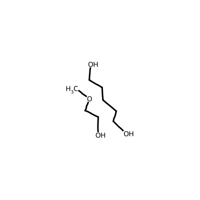 COCCO.OCCCCCO